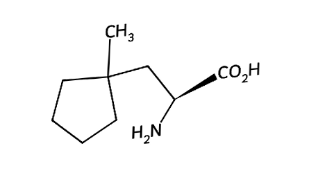 CC1(C[C@H](N)C(=O)O)CCCC1